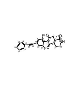 C[C@@]12CC(=O)N(c3c(F)cc(C#Cc4ccccc4)cc3F)C(=O)N1CCNC2=O